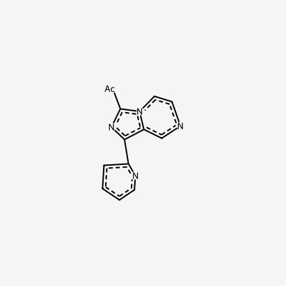 CC(=O)c1nc(-c2ccccn2)c2cnccn12